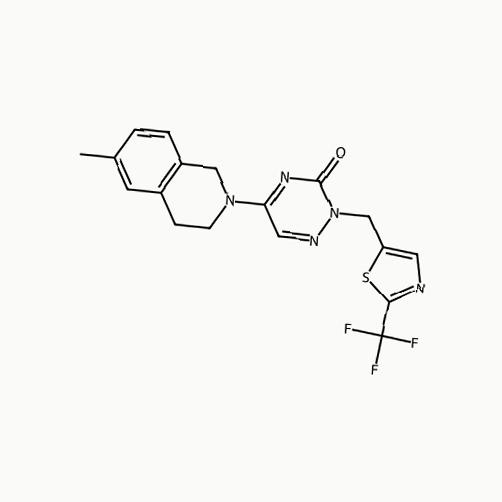 Cc1ccc2c(c1)CCN(c1cnn(Cc3cnc(C(F)(F)F)s3)c(=O)n1)C2